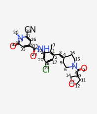 Cc1c(C=C2CCN(C(=O)C3CCOC3)CC2)cc(Cl)cc1NC(=O)c1cc(C#N)n(C)c(=O)c1